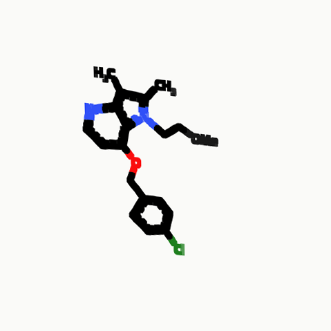 COCCn1c(C)c(C)c2nccc(OCc3ccc(Cl)cc3)c21